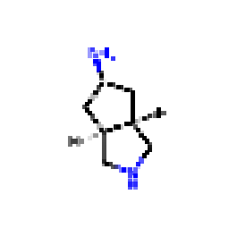 N[C@H]1C[C@H]2CNC[C@H]2C1